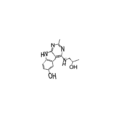 Cc1nc(NCC(C)O)c2c(n1)[nH]c1ccc(O)cc12